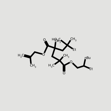 C=C(C)COC(=O)C(C)(CC(C)(C)C(=O)OCC(CC)CCCC)CC(C)(CC)C(=O)O